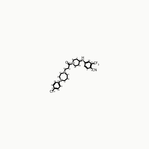 N#Cc1ccc(NC2CCN(C(=O)CCN3CCCN(c4ccc(Cl)cc4)CC3)CC2)cc1C(F)(F)F